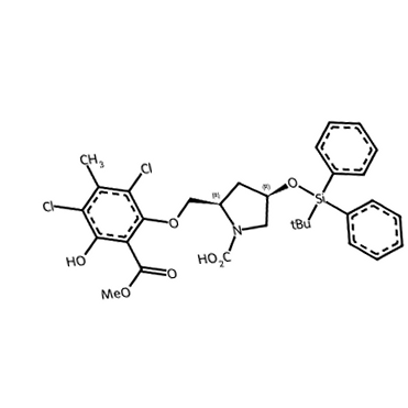 COC(=O)c1c(O)c(Cl)c(C)c(Cl)c1OC[C@H]1C[C@@H](O[Si](c2ccccc2)(c2ccccc2)C(C)(C)C)CN1C(=O)O